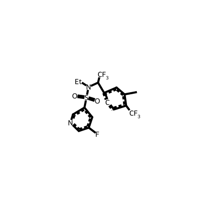 CCN(C(c1ccc(C(F)(F)F)c(C)c1)C(F)(F)F)S(=O)(=O)c1cncc(F)c1